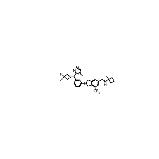 Cn1cnnc1C(c1cccc(N2Cc3cc(CNC4(C)CCC4)cc(C(F)(F)F)c3C2)c1)N1CC(F)(F)C1